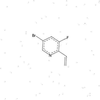 C=Cc1ncc(Br)cc1F